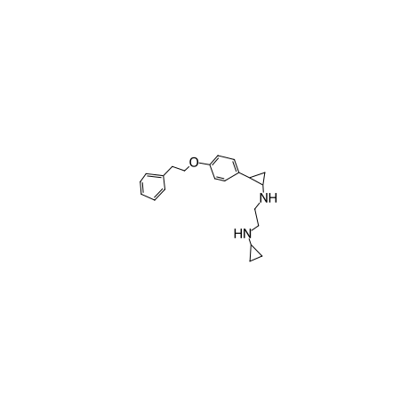 c1ccc(CCOc2ccc(C3CC3NCCNC3CC3)cc2)cc1